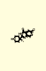 O=c1[nH]c(C2(F)CCNCC2)nc2cnc(Cl)cc12